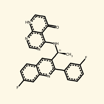 C[C@H](Nc1ncnc2[nH]ccc(=O)c12)c1cc2ccc(F)cc2nc1-c1cccc(F)c1